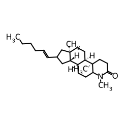 CCCCC=CC1C[C@H]2[C@@H]3CCC4N(C)C(=O)CC[C@]4(C)[C@@H]3CC[C@]2(C)C1